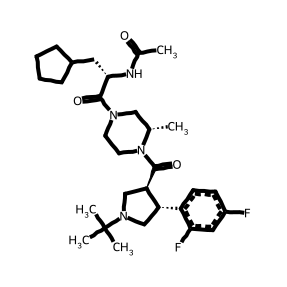 CC(=O)N[C@@H](CC1CCCC1)C(=O)N1CCN(C(=O)[C@@H]2CN(C(C)(C)C)C[C@H]2c2ccc(F)cc2F)[C@@H](C)C1